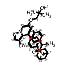 CC(C)(O)COc1cc(-c2ccc(N3CC4CC(C3)N4C(=O)[C@H](N)c3ccc(F)cc3)nc2)c2c(C#N)cnn2c1